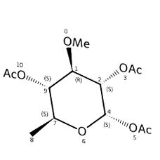 CO[C@H]1[C@H](OC(C)=O)[C@H](OC(C)=O)O[C@@H](C)[C@@H]1OC(C)=O